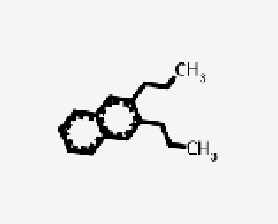 CCCc1cc2ccccc2cc1CCC